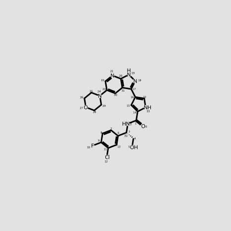 O=C(N[C@H](CO)c1ccc(F)c(Cl)c1)c1cc(-c2n[nH]c3ncc(N4CCOCC4)cc23)c[nH]1